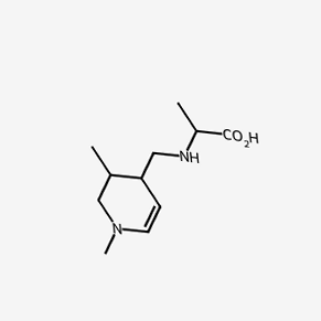 CC(NCC1C=CN(C)CC1C)C(=O)O